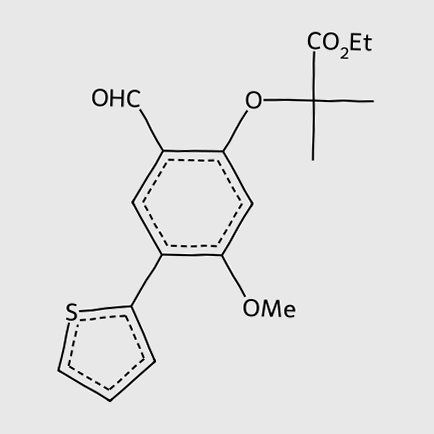 CCOC(=O)C(C)(C)Oc1cc(OC)c(-c2cccs2)cc1C=O